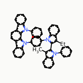 CCc1c(-c2c(C)c3ccccc3n2-c2ccccc2)n(-c2ccc(-n3c4ccccc4c4ccc5c6ccccc6n(-c6ccccc6)c5c43)cc2)c2ccccc12